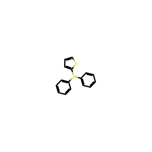 c1ccc([S+](c2ccccc2)c2cccs2)cc1